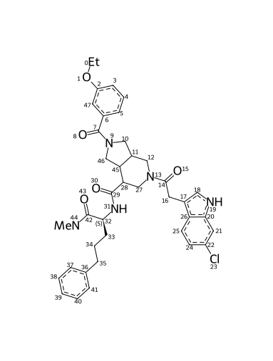 CCOc1cccc(C(=O)N2CC3CN(C(=O)Cc4c[nH]c5cc(Cl)ccc45)CC(C(=O)N[C@@H](CCCc4ccccc4)C(=O)NC)C3C2)c1